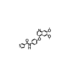 COc1cc2nccc(Oc3ccc(NC(=O)c4ccsc4)cc3)c2cc1OC